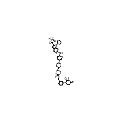 CN(C)C(=O)c1cc2cnc(Nc3ccc(N4CCC(N5CCC(F)(CCc6cccc(C7CCC(=O)NC7=O)c6)CC5)CC4)cn3)nc2n1C1CCCC1